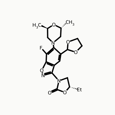 CC[C@H]1CN(c2noc3c(F)c(N4C[C@@H](C)O[C@H](C)C4)c(C4OCCO4)cc23)C(=O)O1